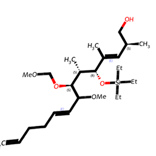 C=CCC/C=C/C(OC)[C@@H](OCOC)[C@H](C)[C@@H](O[Si](CC)(CC)CC)/C(C)=C/[C@H](C)CO